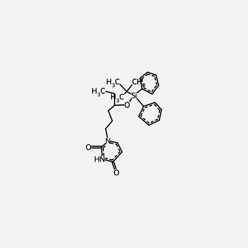 CCC(CCCn1ccc(=O)[nH]c1=O)O[Si](c1ccccc1)(c1ccccc1)C(C)(C)C